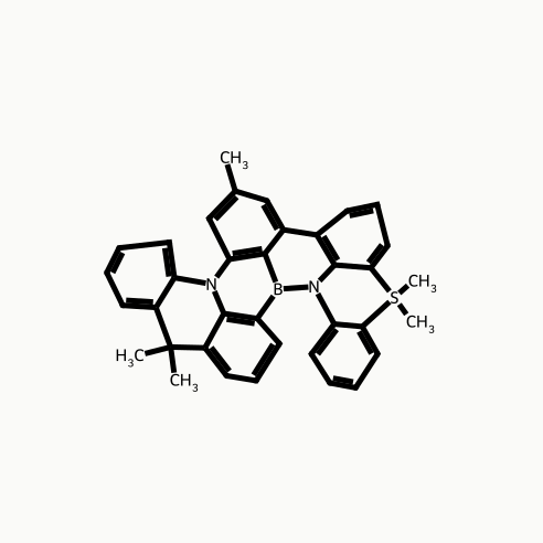 Cc1cc2c3c(c1)N1c4ccccc4C(C)(C)c4cccc(c41)B3N1c3ccccc3S(C)(C)c3cccc-2c31